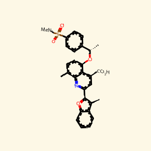 CNS(=O)(=O)c1ccc([C@H](C)Oc2ccc(C)c3nc(-c4oc5ccccc5c4C)cc(C(=O)O)c23)cc1